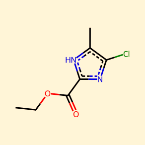 CCOC(=O)c1nc(Cl)c(C)[nH]1